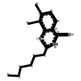 CCCCCCc1nc2c(C)c(C)ccc2c(=O)[nH]1